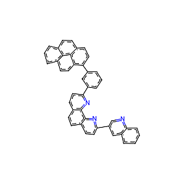 c1cc(-c2ccc3ccc4ccc(-c5cnc6ccccc6c5)nc4c3n2)cc(-c2ccc3ccc4cccc5ccc2c3c45)c1